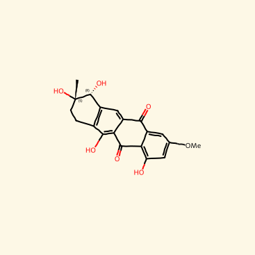 COc1cc(O)c2c(c1)C(=O)c1cc3c(c(O)c1C2=O)CC[C@](C)(O)[C@@H]3O